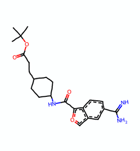 CC(C)(C)OC(=O)CCC1CCC(NC(=O)c2occ3cc(C(=N)N)ccc23)CC1